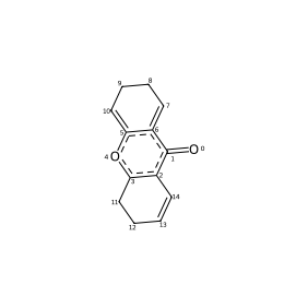 O=c1c2c(oc3c1=CCCC=3)CCC=C2